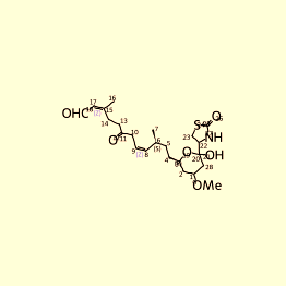 COC1C[C@@H](CC[C@H](C)/C=C\CC(=O)CC/C(C)=C\C=O)OC(O)(C2CSC(=O)N2)C1